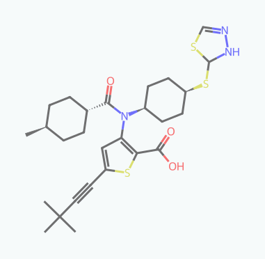 CC(C)(C)C#Cc1cc(N(C(=O)[C@H]2CC[C@H](C)CC2)[C@H]2CC[C@@H](SC3NN=CS3)CC2)c(C(=O)O)s1